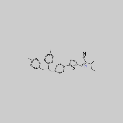 CCC(C)/C(C#N)=C/c1ccc(-c2ccc(CC(Cc3ccc(C)cc3)c3ccc(C)cc3)cc2)s1